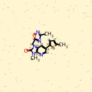 Cc1noc(Cn2c(=O)n(C)c3ncc(-c4ccc(C)s4)cc32)n1